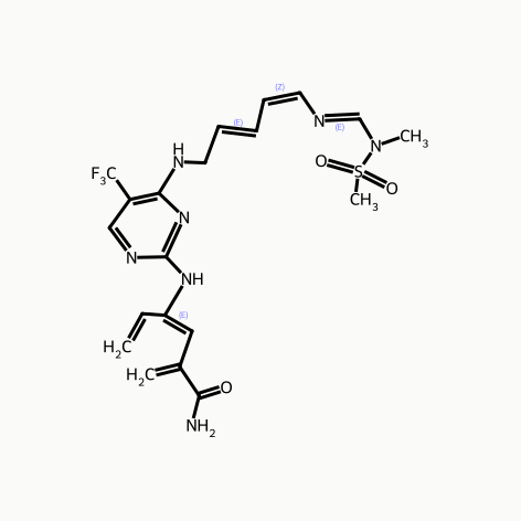 C=C/C(=C\C(=C)C(N)=O)Nc1ncc(C(F)(F)F)c(NC/C=C/C=C\N=C\N(C)S(C)(=O)=O)n1